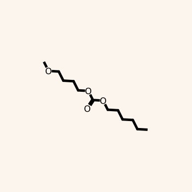 CCCCCCOC(=O)OCCCCOC